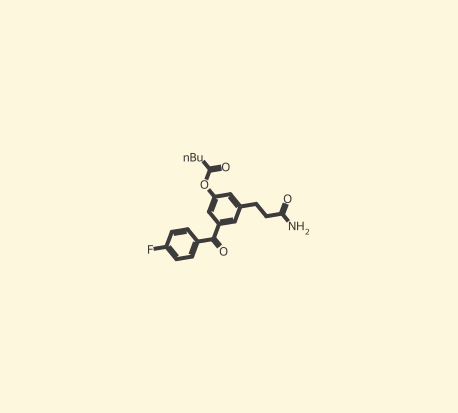 CCCCC(=O)Oc1cc(CCC(N)=O)cc(C(=O)c2ccc(F)cc2)c1